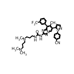 Cc1c(-c2ccnn2-c2ccc(C#N)cc2)cn2nc(NC(=O)NCCCN(C)CCCN(C)C)nc2c1-c1cccc(C(F)(F)F)c1